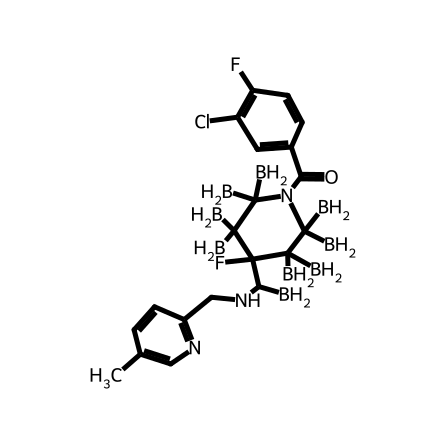 BC(NCc1ccc(C)cn1)C1(F)C(B)(B)C(B)(B)N(C(=O)c2ccc(F)c(Cl)c2)C(B)(B)C1(B)B